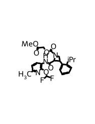 COC(=O)COC(=O)N1CC(c2ccccc2C(C)C)C1C(=O)Nc1ccc(C)nc1OC(F)F